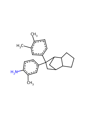 Cc1ccc(C2(c3ccc(N)c(C)c3)CC3CC2C2CCCC32)cc1C